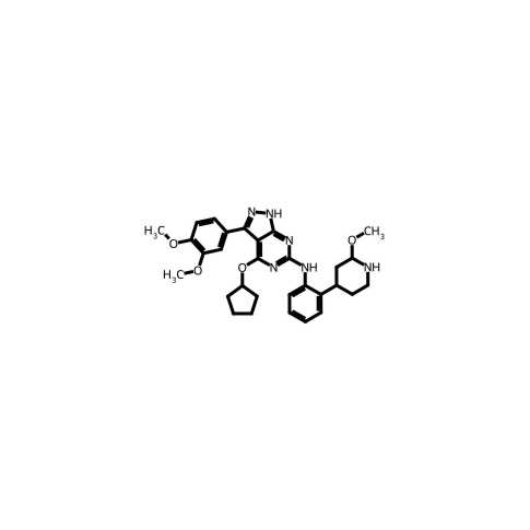 COc1ccc(-c2n[nH]c3nc(Nc4ccccc4C4CCNC(OC)C4)nc(OC4CCCC4)c23)cc1OC